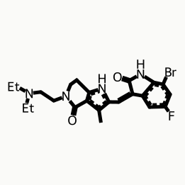 CCN(CC)CCN1CCc2[nH]c(/C=C3\C(=O)Nc4c(Br)cc(F)cc43)c(C)c2C1=O